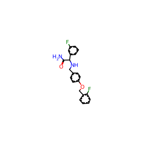 NC(=O)C(NCc1ccc(OCc2ccccc2F)cc1)c1cccc(F)c1